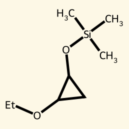 CCOC1C[C]1O[Si](C)(C)C